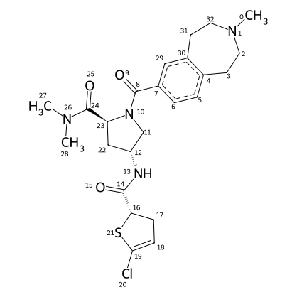 CN1CCc2ccc(C(=O)N3C[C@H](NC(=O)[C@@H]4CC=C(Cl)S4)C[C@H]3C(=O)N(C)C)cc2CC1